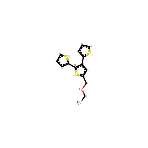 CCOCc1cc(-c2cccs2)c(-c2cccs2)s1